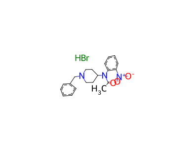 Br.CC(=O)N(c1ccccc1[N+](=O)[O-])C1CCN(Cc2ccccc2)CC1